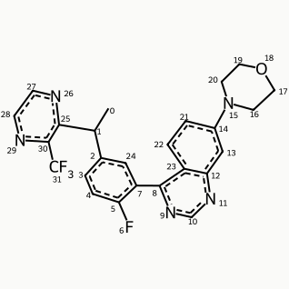 CC(c1ccc(F)c(-c2ncnc3cc(N4CCOCC4)ccc23)c1)c1nccnc1C(F)(F)F